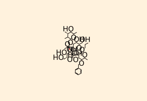 CCCO[C@@H]1OC(C)[C@@H](OCc2ccccc2)[C@H](O[C@H]2O[C@@H](CO)[C@@H](O)C(O)C2O)C1O[C@@H]1OC(CO)[C@@H](O)C(O[C@@H]2OC(C)[C@H](O)[C@H](C)C2C)[C@@H]1NC(C)=O